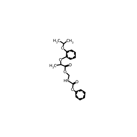 CC(C)Oc1ccccc1OC(C)C(=O)OCNC(=O)Oc1ccccc1